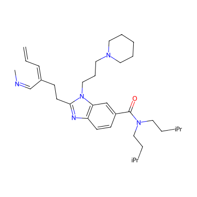 C=C/C=C(\C=N/C)CCc1nc2ccc(C(=O)N(CCC(C)C)CCC(C)C)cc2n1CCCN1CCCCC1